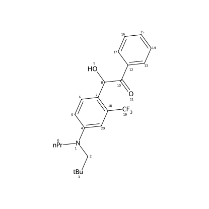 CCCN(CC(C)(C)C)c1ccc(C(O)C(=O)c2ccccc2)c(C(F)(F)F)c1